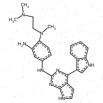 CN(C)CCN(C)c1ccc(Nc2nc(-c3c[nH]c4ccccc34)c3cc[nH]c3n2)cc1N